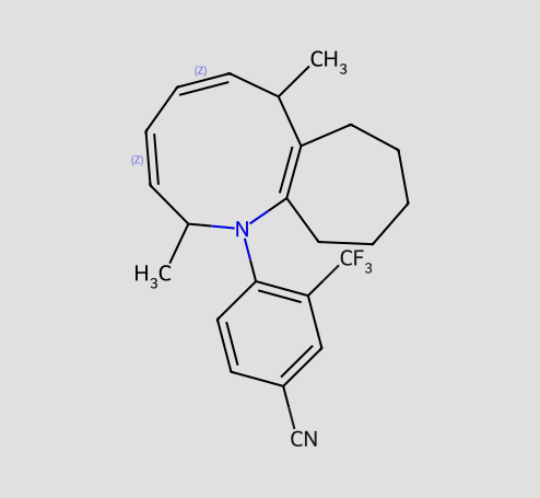 CC1/C=C\C=C/C(C)N(c2ccc(C#N)cc2C(F)(F)F)C2=C1CCCCC2